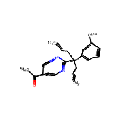 C=CCC(CC=C)(c1cccc(OC)c1)c1ncc(C(=O)OC)cn1